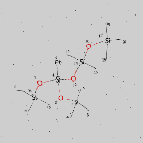 C[CH][Si](O[Si](C)(C)C)(O[Si](C)(C)C)O[Si](C)(C)O[Si](C)(C)C